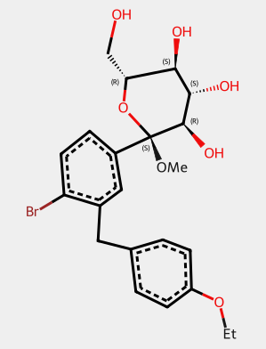 CCOc1ccc(Cc2cc([C@]3(OC)O[C@H](CO)[C@@H](O)[C@H](O)[C@H]3O)ccc2Br)cc1